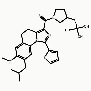 COc1cc2c(cc1CC(C)C)-n1c(-c3cccs3)nc(C(=O)N3CCC(OC(O)(O)O)C3)c1CC2